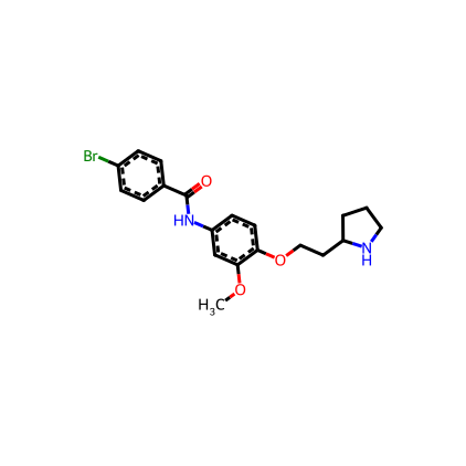 COc1cc(NC(=O)c2ccc(Br)cc2)ccc1OCCC1CCCN1